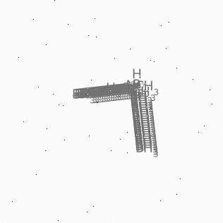 B.B.B.B.B.B.B.B.B.B.B.B.B.B.B.B.B.B.B.B.B.B.B.B.B.B.B.B.B.B.B.B.B.B.B.B.B.B.B.B.B.B.B.B.B.B.B.CPc1nc(C)sc1C